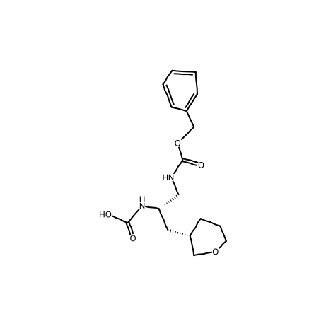 O=C(O)N[C@H](CNC(=O)OCc1ccccc1)C[C@@H]1CCCOC1